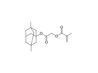 C=C(C)C(=O)OCC(=O)OC12CC3CC(C)(CC(C)(C3)C1)C2